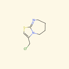 ClCC1=CSC2=NCCCCN12